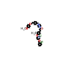 COc1ccc(OCCc2ccc(CN3CCN(C(=O)/C=C/c4cc(C)c(Oc5ccc(OCc6ccccc6Cl)cn5)c(Cl)c4)CC3)cc2)cc1